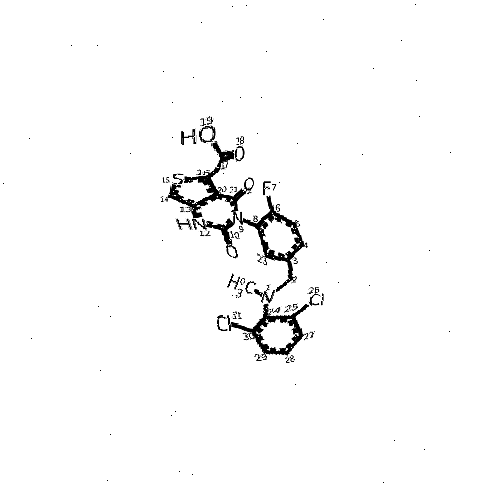 CN(Cc1ccc(F)c(-n2c(=O)[nH]c3csc(C(=O)O)c3c2=O)c1)c1c(Cl)cccc1Cl